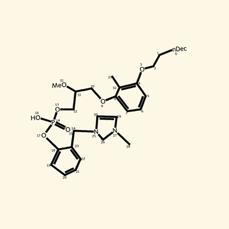 CCCCCCCCCCCCOc1cccc(OCC(COP(=O)(O)Oc2ccccc2CN2[CH]N(C)C=C2)OC)c1C